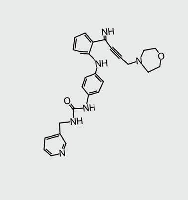 N=C(C#CCN1CCOCC1)c1ccccc1Nc1ccc(NC(=O)NCc2cccnc2)cc1